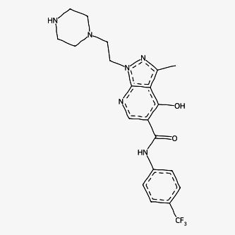 Cc1nn(CCN2CCNCC2)c2ncc(C(=O)Nc3ccc(C(F)(F)F)cc3)c(O)c12